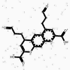 O=CCCc1cc(C(=O)O)nc2cc3c(cc12)C(CCC=O)C=C(C(=O)O)O3